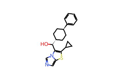 OC(c1c(C2CC2)sc2cncn12)[C@H]1CC[C@H](c2ccccc2)CC1